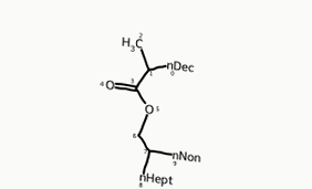 CCCCCCCCCCC(C)C(=O)OCC(CCCCCCC)CCCCCCCCC